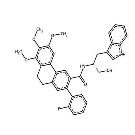 COc1cc2c(c(OC)c1OC)CCc1cc(-c3ccccc3F)c(C(=O)N[C@@H](CO)Cc3c[nH]c4ccccc34)cc1-2